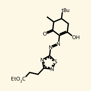 CCOC(=O)CCc1nsc(N=NC2=C(O)CC(C(C)(C)C)C(C)C2=O)n1